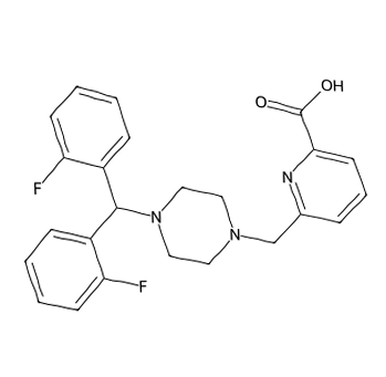 O=C(O)c1cccc(CN2CCN(C(c3ccccc3F)c3ccccc3F)CC2)n1